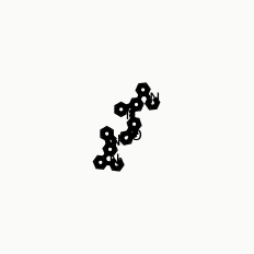 c1ccc(-c2ccccc2-c2ccc3c(c2)c2ccccc2n3-c2ccc3oc4ccc(-n5c6ccccc6c6cc(-c7ccccc7-c7ccccn7)ccc65)cc4c3c2)nc1